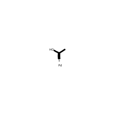 CC(O)=S.[Pd]